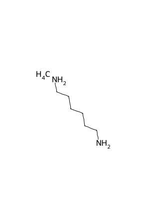 C.NCCCCCCN